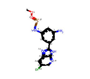 COOSNc1cc(N)cc(-c2nc3cc(Br)cnc3[nH]2)c1